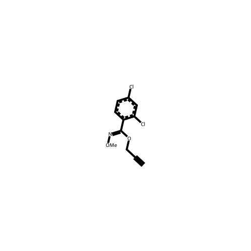 C#CCOC(=NOC)c1ccc(Cl)cc1Cl